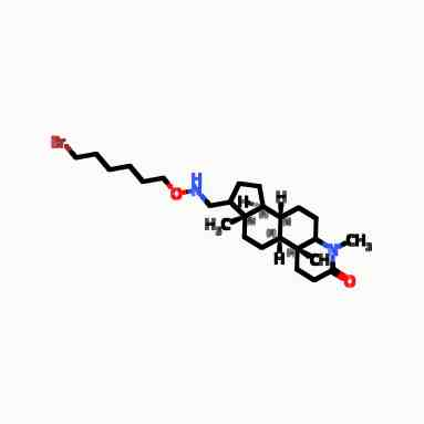 CN1C(=O)CC[C@@]2(C)C1CC[C@@H]1[C@H]2CC[C@]2(C)C(CNOCCCCCCBr)CC[C@@H]12